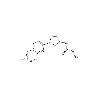 CC(C)(C)OC(=O)N[C@@H]1CCN(c2ccc3cc(F)ccc3n2)C1